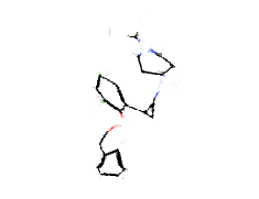 CC(C)N1CCC(NC2CC2c2cc(F)cc(F)c2OCc2ccccc2)CC1